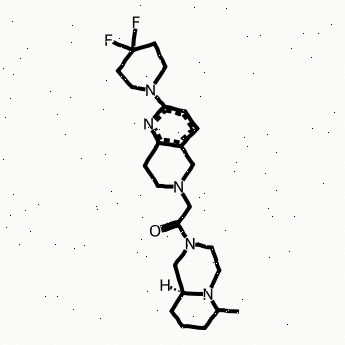 CC1CCC[C@H]2CN(C(=O)CN3CCc4nc(N5CCC(F)(F)CC5)ccc4C3)CCN12